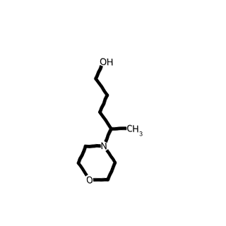 CC(CCCO)N1CCOCC1